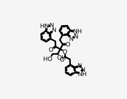 O=C(Cc1cccc2[nH]nnc12)OC(C(=O)Cc1cccc2[nH]nnc12)(C(=O)Cc1cccc2[nH]nnc12)C(O)CO